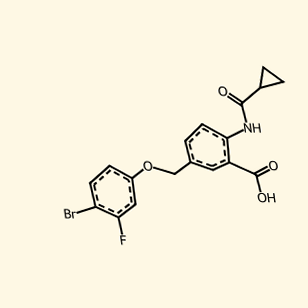 O=C(O)c1cc(COc2ccc(Br)c(F)c2)ccc1NC(=O)C1CC1